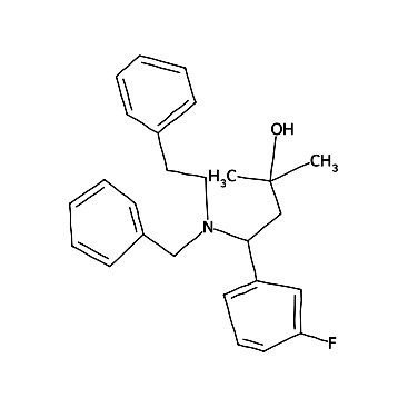 CC(C)(O)CC(c1cccc(F)c1)N(CCc1ccccc1)Cc1ccccc1